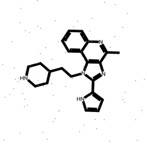 Cc1nc2ccccc2c2c1nc(-c1ccc[nH]1)n2CCC1CCNCC1